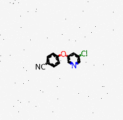 N#Cc1ccc(Oc2cncc(Cl)c2)cc1